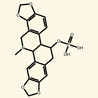 CN1Cc2c(ccc3c2OCO3)C2C(OP(=O)(O)O)Cc3cc4c(cc3C21)OCO4